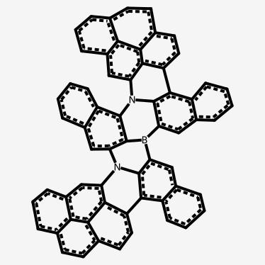 c1ccc2c3c4c(cc2c1)B1c2cc5ccccc5c5c2N(c2c1c(cc1ccccc21)N4c1cc2cccc4ccc6ccc-3c1c6c42)c1cc2cccc3ccc4ccc-5c1c4c32